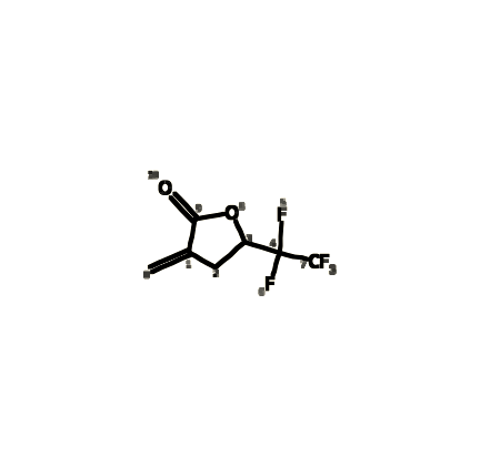 C=C1CC(C(F)(F)C(F)(F)F)OC1=O